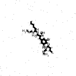 CCCCCC(NC=NN)NC(=O)C(Cc1cc(Br)c(OC(CCC)NC=NN)c(Br)c1)=NO